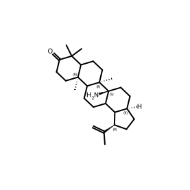 C=C(C)[C@@H]1CC[C@@H]2CC[C@]3(N)C(CCC4[C@@]5(C)CCC(=O)C(C)(C)C5CC[C@]43C)C21